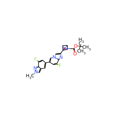 Cn1cc2cc(-c3cc(F)c4nc(C56CC(C5)N(C(=O)OC(C)(C)C)C6)cn4c3)cc(F)c2n1